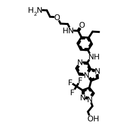 CCc1cc(Nc2nccn3c(-c4cn(CCO)nc4C(F)(F)F)cnc23)ccc1C(=O)NCCOCCN